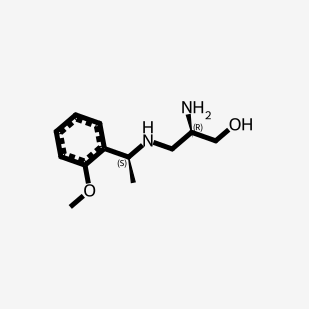 COc1ccccc1[C@H](C)NC[C@@H](N)CO